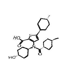 C[C@H]1CC[C@H](C(=O)N(c2cc([C@H]3CC[C@H](C)CC3)sc2C(=O)O)[C@H]2CC[C@H](O)CC2)CC1